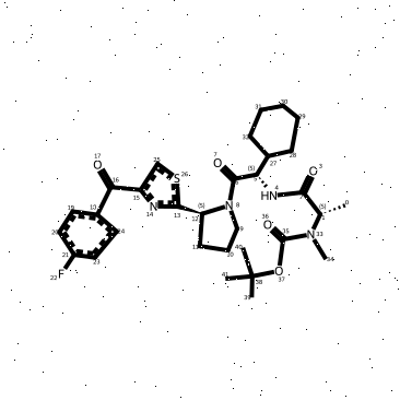 C[C@@H](C(=O)N[C@H](C(=O)N1CCC[C@H]1c1nc(C(=O)c2ccc(F)cc2)cs1)C1CCCCC1)N(C)C(=O)OC(C)(C)C